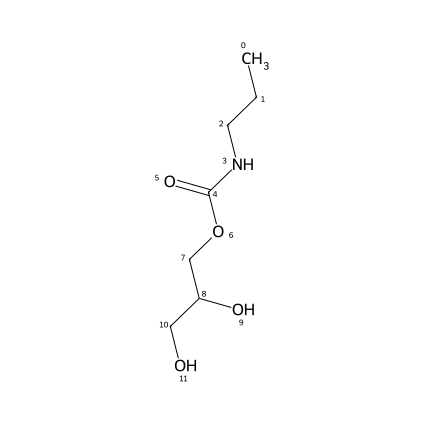 CCCNC(=O)OCC(O)CO